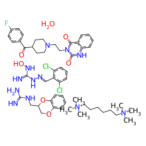 C[N+](C)(C)CCCCCC[N+](C)(C)C.N=C(N)NCC1COc2ccccc2O1.N=C(NO)N/N=C/c1c(Cl)cccc1Cl.O.O=C(c1ccc(F)cc1)C1CCN(CCn2c(=O)[nH]c3ccccc3c2=O)CC1